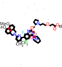 COc1ccc(CN(Cc2ccc(OC)cc2)c2cc(C)c(C(F)(F)F)c(-c3c(Cl)cc4c(N5CC6CCC(C5)N6C(=O)OC(C)(C)C)nc(OC[C@@H]5CCCN5CCCOCCC(=O)OC(C)(C)C)nc4c3F)n2)cc1